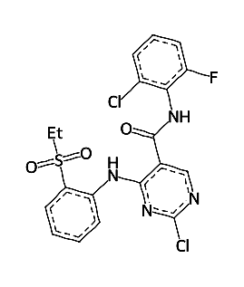 CCS(=O)(=O)c1ccccc1Nc1nc(Cl)ncc1C(=O)Nc1c(F)cccc1Cl